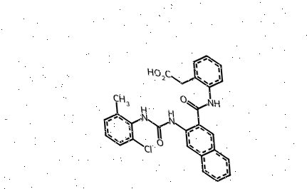 Cc1cccc(Cl)c1NC(=O)Nc1cc2ccccc2cc1C(=O)Nc1ccccc1CC(=O)O